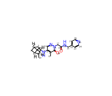 Cc1c(N[C@@H]2C[C@H]3C[C@H]([C@@H]2C)C3(C)C)cnn(CC(=O)NCc2ccncc2)c1=O